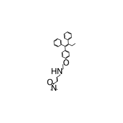 CCC(=C(c1ccccc1)c1ccc(OCCNCC=CC(=O)N(C)C)cc1)c1ccccc1